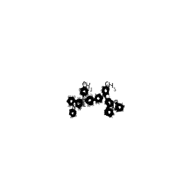 CC1=CCC(N(C2=CCC3C(=C2)C2C=CC=CC2N3C2=CC=CCC2C)C2=CCC(C3=CCC(C)(N(C4=CC5C6C=CC=CC6N(c6ccccc6)C5C=C4)c4ccc(C)cc4)C=C3)CC2)C=C1